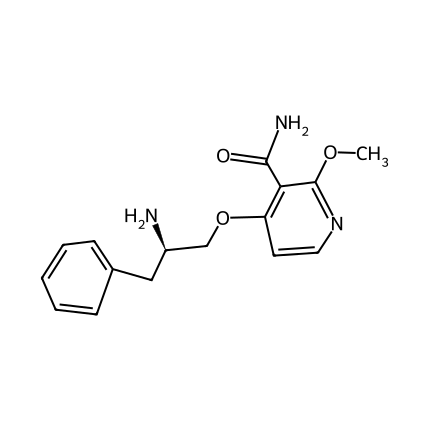 COc1nccc(OC[C@H](N)Cc2ccccc2)c1C(N)=O